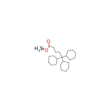 O=C(CCCC(C1CCCCC1)(C1CCCCC1)C1CCCCC1)O[SiH3]